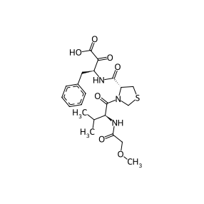 COCC(=O)N[C@H](C(=O)N1CSC[C@H]1C(=O)N[C@@H](Cc1ccccc1)C(=O)C(=O)O)C(C)C